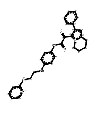 O=C(Nc1ccc(NCCOc2ccccn2)cc1)C(=O)c1c(-c2ccccc2)cc2n1CCCC2